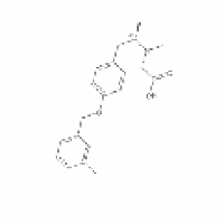 Cc1cccc(COc2ccc(C[C@@H](C)N(C)CC(=O)O)cc2)c1